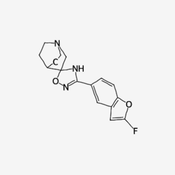 Fc1cc2cc(C3=NOC4(CN5CCC4CC5)N3)ccc2o1